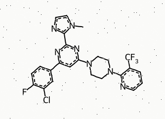 Cn1ccnc1-c1nc(-c2ccc(F)c(Cl)c2)cc(N2CCN(c3ncccc3C(F)(F)F)CC2)n1